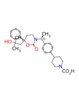 C[C@@H](c1ccc(C2CCN(C(=O)O)CC2)cc1)N1CCC(CC(C)(C)O)(c2ccccc2)OC1=O